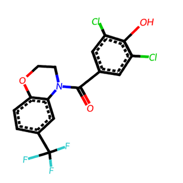 O=C(c1cc(Cl)c(O)c(Cl)c1)N1CCOc2ccc(C(F)(F)F)cc21